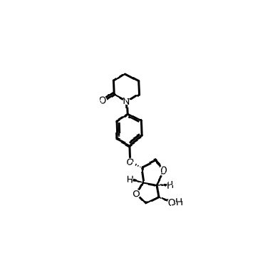 O=C1CCCCN1c1ccc(O[C@@H]2CO[C@H]3[C@@H]2OC[C@@H]3O)cc1